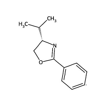 CC(C)[C@H]1COC(c2cc[c]cc2)=N1